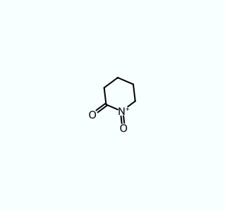 O=C1CCCC[N+]1=O